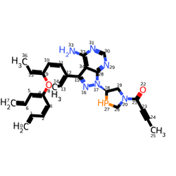 C=C/C=C\C(=C/C=C)OC(/C=C\C(=C/C)c1nn([C@H]2CN(C(=O)C#CC)CP2)c2ncnc(N)c12)=C/C